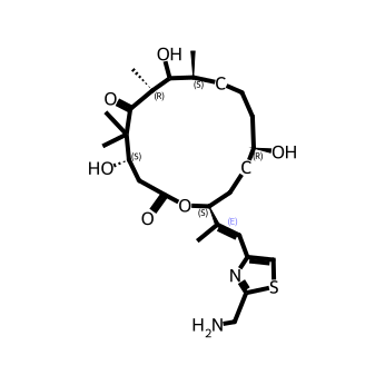 C/C(=C\c1csc(CN)n1)[C@@H]1CC[C@H](O)CCC[C@H](C)C(O)[C@@H](C)C(=O)C(C)(C)[C@@H](O)CC(=O)O1